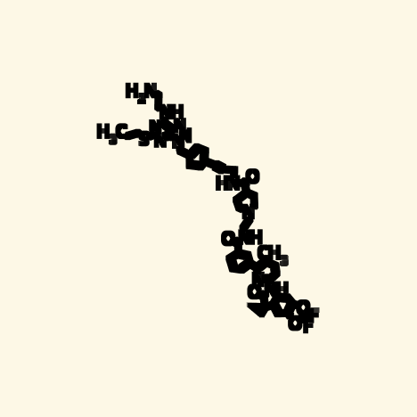 CCCSc1nc(NCCN)c2nnn(Cc3ccc(C#CCNC(=O)C4CCN(CCNC(=O)c5cccc(-c6nc(NC(=O)C7(c8ccc9c(c8)OC(F)(F)O9)CC7)ccc6C)c5)CC4)cc3)c2n1